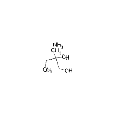 CC(O)(CO)CO.N